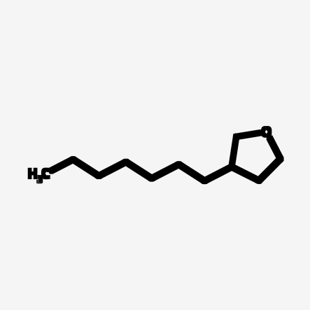 CCCCCCCC1CCOC1